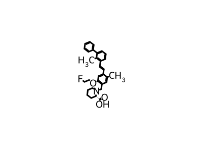 Cc1cc(CN2CCCC[C@H]2C(=O)O)c(OCCF)cc1/C=C/c1cccc(-c2ccccc2)c1C